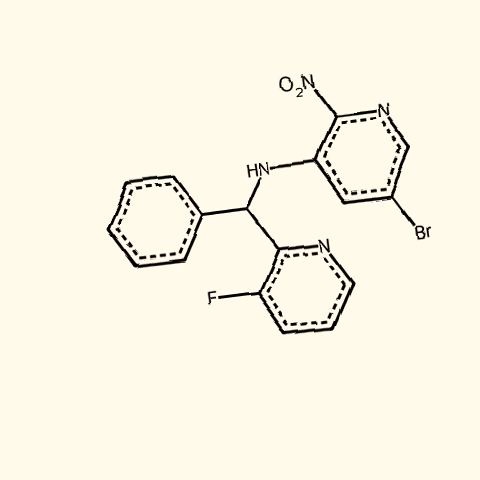 O=[N+]([O-])c1ncc(Br)cc1NC(c1ccccc1)c1ncccc1F